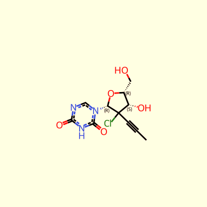 CC#CC1(Cl)[C@@H](O)[C@@H](CO)O[C@H]1n1cnc(=O)[nH]c1=O